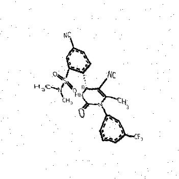 [C-]#[N+]C1=C(C)N(c2cccc(C(F)(F)F)c2)C(=O)N[C@@H]1c1ccc(C#N)cc1S(=O)(=O)N(C)C